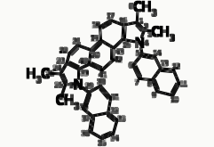 Cc1c(C)n(-c2ccc3ccccc3c2)c2c1ccc1c3ccc4c(C)c(C)n(-c5ccc6ccccc6c5)c4c3ccc12